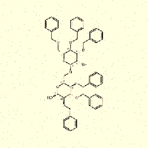 O[C@@H]1[C@@H](OC[C@H]2O[C@H](O)[C@H](OCc3ccccc3)[C@@H](OCc3ccccc3)[C@@H]2OCc2ccccc2)O[C@H](COCc2ccccc2)[C@@H](OCc2ccccc2)[C@@H]1OCc1ccccc1